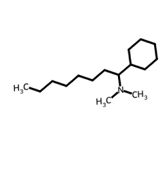 CCCCCCCC(C1CCCCC1)N(C)C